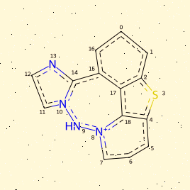 c1cc2sc3ccc[n+]4[nH]n5ccnc5c(c1)c2c34